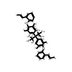 CC=Cc1ccccc1Oc1c(C)cc(C(c2cc(C)c(Oc3ccccc3C=CC)c(C)c2)(C(F)(F)F)C(F)(F)F)cc1C